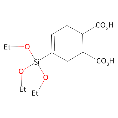 CCO[Si](OCC)(OCC)C1=CCC(C(=O)O)C(C(=O)O)C1